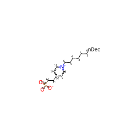 CCCCCCCCCCCCCCCC[n+]1ccc(CCS(=O)(=O)[O-])cc1